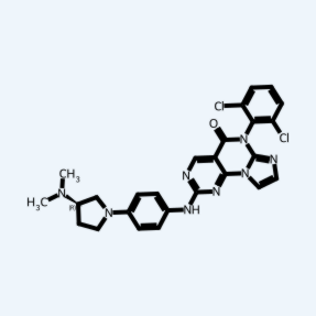 CN(C)[C@@H]1CCN(c2ccc(Nc3ncc4c(=O)n(-c5c(Cl)cccc5Cl)c5nccn5c4n3)cc2)C1